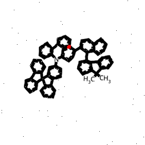 CC1(C)c2ccccc2-c2c(-c3c(-c4ccc(N(c5ccc6c(c5)C5(c7ccccc7-c7ccccc75)c5ccccc5-6)c5ccccc5-c5ccccc5)cc4)ccc4ccccc34)cccc21